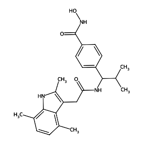 Cc1[nH]c2c(C)ccc(C)c2c1CC(=O)NC(c1ccc(C(=O)NO)cc1)C(C)C